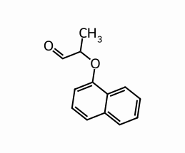 CC(C=O)Oc1cccc2ccccc12